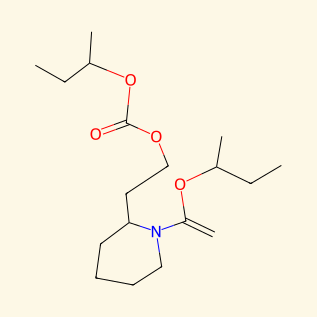 C=C(OC(C)CC)N1CCCCC1CCOC(=O)OC(C)CC